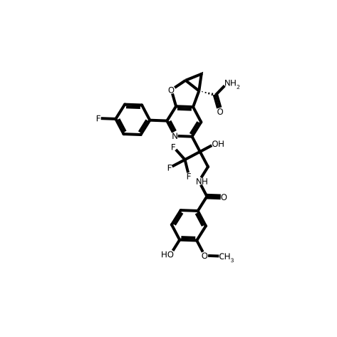 COc1cc(C(=O)NCC(O)(c2cc3c(c(-c4ccc(F)cc4)n2)OC2C[C@@]32C(N)=O)C(F)(F)F)ccc1O